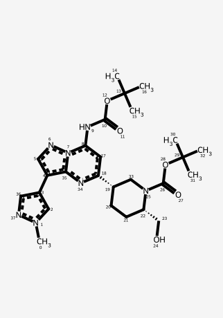 Cn1cc(-c2cnn3c(NC(=O)OC(C)(C)C)cc([C@H]4CC[C@@H](CO)N(C(=O)OC(C)(C)C)C4)nc23)cn1